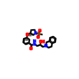 CS(=O)(=O)N1CC[C@H](O[C@@H]2C=CC=C(C(=O)NCC(O)CN3CCc4ccccc4C3)C2)C1